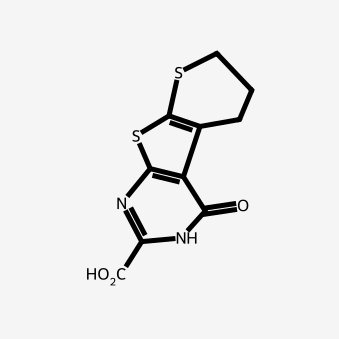 O=C(O)c1nc2sc3c(c2c(=O)[nH]1)CCCS3